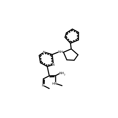 C/N=C\C(=C(\N)NC)c1ccnc(NC2CCCC2c2ccccc2)n1